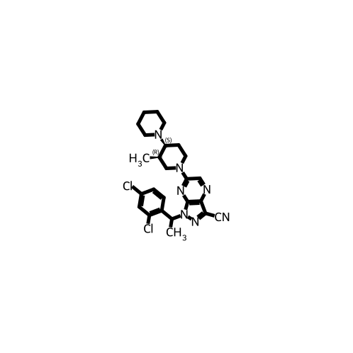 CC(c1ccc(Cl)cc1Cl)n1nc(C#N)c2ncc(N3CC[C@H](N4CCCCC4)[C@H](C)C3)nc21